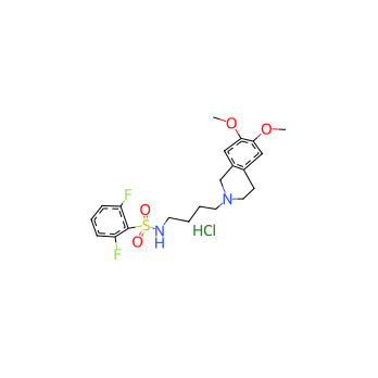 COc1cc2c(cc1OC)CN(CCCCNS(=O)(=O)c1c(F)cccc1F)CC2.Cl